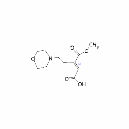 COC(=O)/C(=C/C(=O)O)CCN1CCOCC1